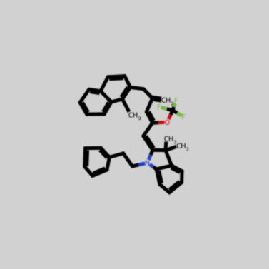 C=C(/C=C(/C=C1/N(CCc2ccccc2)c2ccccc2C1(C)C)OC(F)(F)F)Cc1ccc2ccccc2c1C